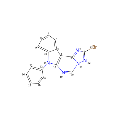 Brc1nc2c3c4ccccc4n(-c4ccccc4)c3ncn2n1